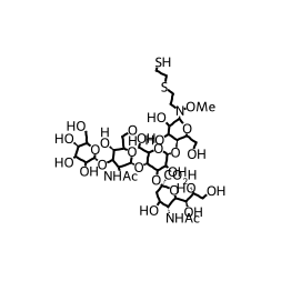 CON(CCSCCS)[C@@H]1OC(CO)[C@@H](O[C@@H]2OC(CO)[C@H](O[C@@H]3OC(CO)[C@H](O)C(O[C@@H]4OC(CO)[C@H](O)C(O)C4O)C3NC(C)=O)C(O[C@]3(C(=O)O)CC(O)[C@@H](NC(C)=O)C([C@H](O)[C@H](O)CO)O3)C2O)C(O)C1O